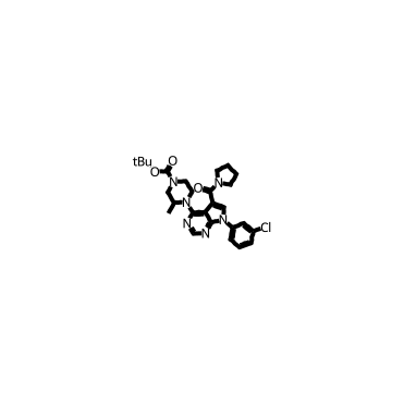 CC1CN(C(=O)OC(C)(C)C)CCN1c1ncnc2c1c(C(=O)N1CCCC1)cn2-c1cccc(Cl)c1